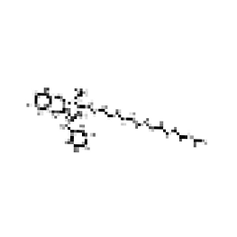 CCCCCCCCCCCCCCCCCC(O)C(O)N(Cc1ccccc1)C(=O)OCc1ccccc1